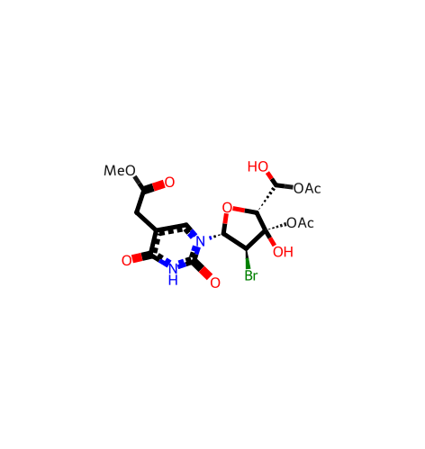 COC(=O)Cc1cn([C@@H]2O[C@H](C(O)OC(C)=O)[C@](O)(OC(C)=O)[C@H]2Br)c(=O)[nH]c1=O